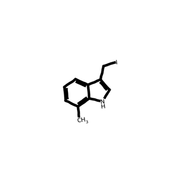 Cc1cccc2c(CI)c[nH]c12